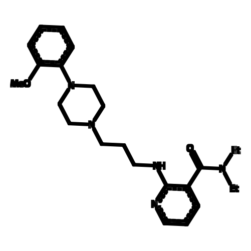 CCN(CC)C(=O)c1cccnc1NCCCN1CCN(c2ccccc2OC)CC1